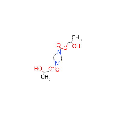 CC(O)COC(=O)N1CCN(C(=O)OCC(C)O)CC1